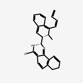 C=C/C=C\C1=c2ccccc2=C[C@@H]([C@@H]2N=c3c4c(ccc3=C(Cl)N2)CCC=C4)C1C